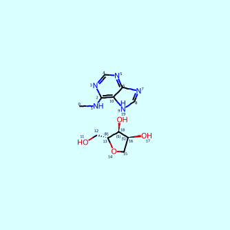 CNc1ncnc2nc[nH]c12.OC[C@H]1OC[C@H](O)[C@@H]1O